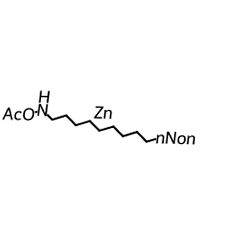 CCCCCCCCCCCCCCCCCCNOC(C)=O.[Zn]